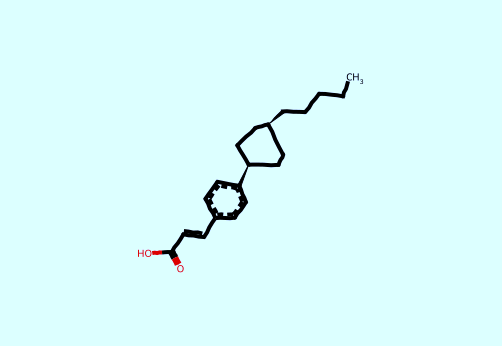 CCCCC[C@H]1CC[C@@H](c2ccc(C=CC(=O)O)cc2)CC1